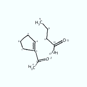 CC(=O)C1=CCCC1.CCCC(=O)O